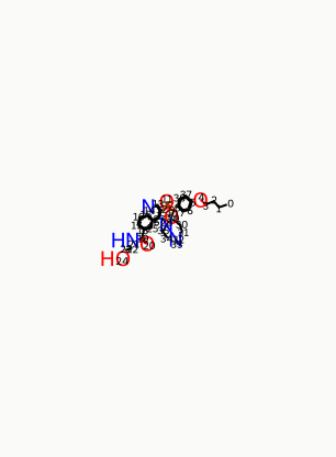 CCCCOc1ccc(S(=O)(=O)c2cnc3ccc(C(=O)NCCO)cc3c2N2CCCN(C)CC2)cc1